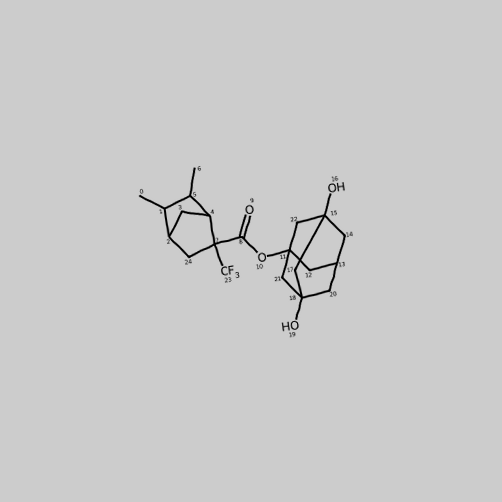 CC1C2CC(C1C)C(C(=O)OC13CC4CC(O)(CC(O)(C4)C1)C3)(C(F)(F)F)C2